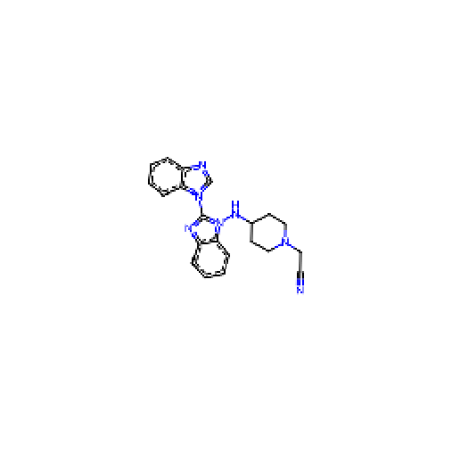 N#CCN1CCC(Nn2c(-n3cnc4ccccc43)nc3ccccc32)CC1